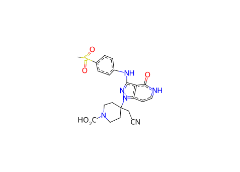 CS(=O)(=O)c1ccc(Nc2nn(C3(CC#N)CCN(C(=O)O)CC3)c3cc[nH]c(=O)c23)cc1